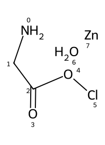 NCC(=O)OCl.O.[Zn]